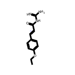 CCOc1ccc(/C=C/C(=O)NC(=N)N)cc1